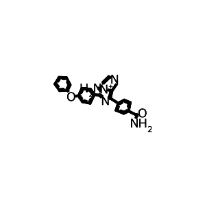 NC(=O)c1ccc(C2=C3C=NC=C[N+]3(N)C(c3ccc(Oc4ccccc4)cc3)=N2)cc1